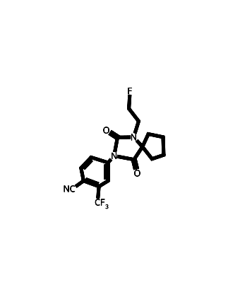 N#Cc1ccc(N2C(=O)N(CCF)C3(CCCC3)C2=O)cc1C(F)(F)F